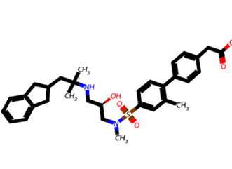 Cc1cc(S(=O)(=O)N(C)C[C@H](O)CNC(C)(C)CC2Cc3ccccc3C2)ccc1-c1ccc(CC(=O)O)cc1